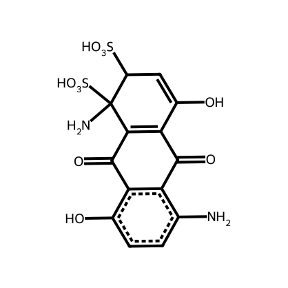 Nc1ccc(O)c2c1C(=O)C1=C(C2=O)C(N)(S(=O)(=O)O)C(S(=O)(=O)O)C=C1O